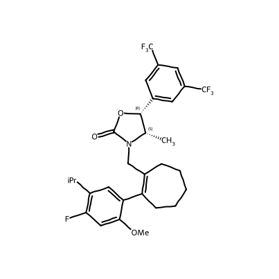 COc1cc(F)c(C(C)C)cc1C1=C(CN2C(=O)O[C@H](c3cc(C(F)(F)F)cc(C(F)(F)F)c3)[C@@H]2C)CCCCC1